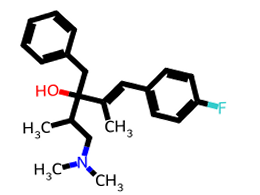 CC(=Cc1ccc(F)cc1)C(O)(Cc1ccccc1)C(C)CN(C)C